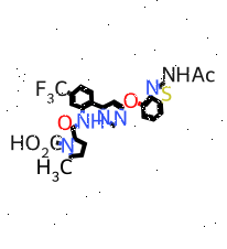 CC(=O)Nc1nc2c(Oc3cc(-c4ccc(C(F)(F)F)cc4NC(=O)C4CCC(C)N4C(=O)O)ncn3)cccc2s1